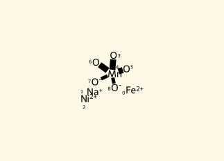 [Fe+2].[Na+].[Ni+2].[O]=[Mn](=[O])(=[O])([O-])[O-]